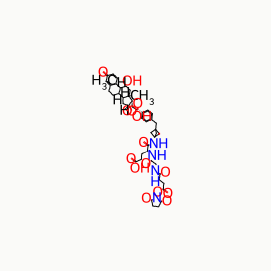 C[C@]12C=CC(=O)C=C1CC[C@@H]1[C@@H]2[C@@H](O)C[C@@]2(C)[C@H]1C[C@H]1O[C@@H](c3ccc(CC45CC(NC(=O)[C@H](CCC(=O)O)NC(=O)CNC(=O)CCC(=O)ON6C(=O)CCC6=O)(C4)C5)cc3)O[C@]12C(=O)CO